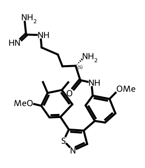 COc1ccc(-c2cnsc2-c2cc(C)c(C)c(OC)c2)cc1NC(=O)[C@@H](N)CCCNC(=N)N